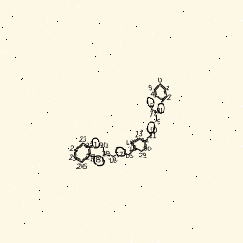 c1ccc2c(c1)OCC(COCc1ccc(COCC3COc4ccccc4O3)cc1)O2